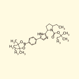 CCC1CCC(c2ncc(-c3ccc(B4OC(C)(C)C(C)(C)O4)cc3)[nH]2)N1C(=O)OC(C)(C)C